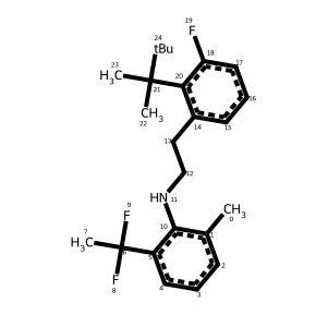 Cc1cccc(C(C)(F)F)c1NCCc1cccc(F)c1C(C)(C)C(C)(C)C